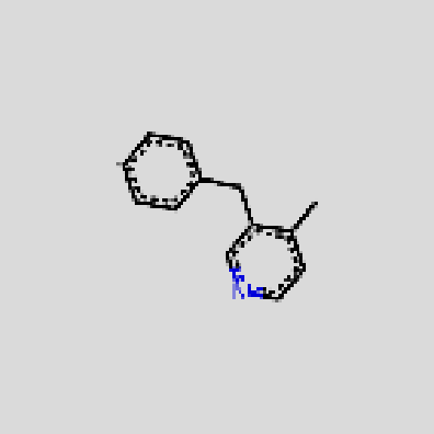 Cc1ccncc1Cc1cc[c]cc1